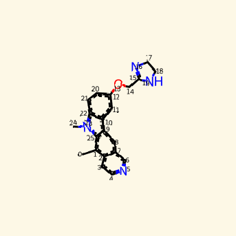 Cc1c2ccncc2cc2c3cc(OCC4=NCCN4)ccc3n(C)c12